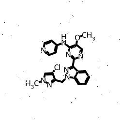 COc1cnc(-c2nn(Cc3nn(C)cc3Cl)c3ccccc23)nc1Nc1ccncc1